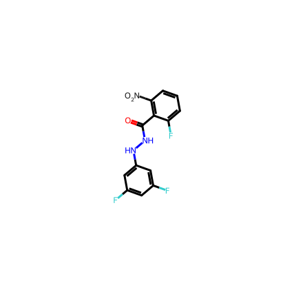 O=C(NNc1cc(F)cc(F)c1)c1c(F)cccc1[N+](=O)[O-]